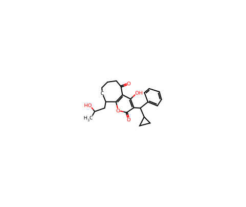 CC(O)CC1CCCCC(=O)c2c1oc(=O)c(C(c1ccccc1)C1CC1)c2O